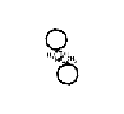 CC1(BBC2(C)CCCCCCCCC2)CCCCCCCCC1